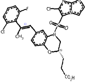 C/C(=C\c1ccc2c(c1)N(S(=O)(=O)c1c(Cl)nc3sccn13)C[C@H](CCC(=O)O)O2)c1c(F)cccc1Cl